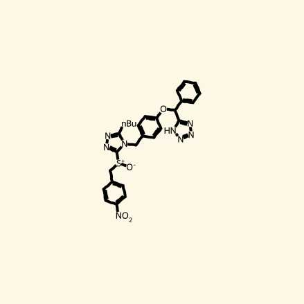 CCCCc1nnc([S+]([O-])Cc2ccc([N+](=O)[O-])cc2)n1Cc1ccc(OC(c2ccccc2)c2nnn[nH]2)cc1